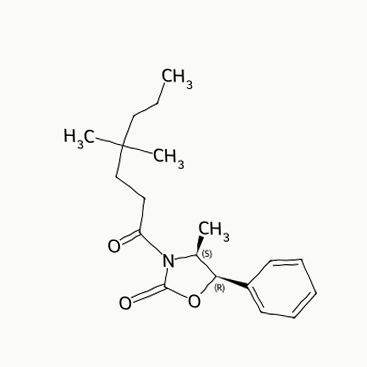 CCCC(C)(C)CCC(=O)N1C(=O)O[C@H](c2ccccc2)[C@@H]1C